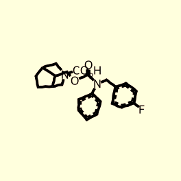 O=C(O)N1CC2CCC(C1)C2COC(=O)N(Cc1ccc(F)cc1)c1ccccc1